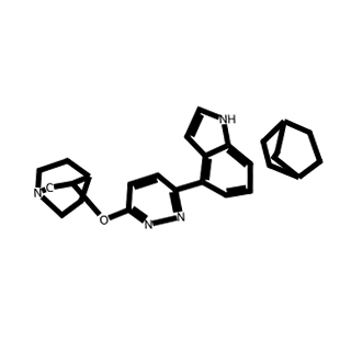 C1CC2CCC1CC2.c1cc(-c2ccc(OC3CN4CCC3CC4)nn2)c2cc[nH]c2c1